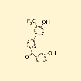 O=C(c1cccc(O)c1)c1ccc(-c2ccc(O)c(C(F)(F)F)c2)s1